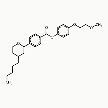 CCCCCC1CCOC(c2ccc(C(=O)Oc3ccc(OCCOC)cc3)cc2)C1